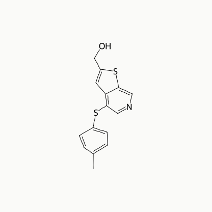 Cc1ccc(Sc2cncc3sc(CO)cc23)cc1